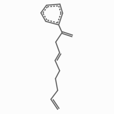 C=CCCCC=CCC(=C)c1ccccc1